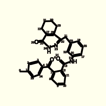 Cc1ccc(C(=O)c2ccccc2C(=O)Nc2cccc(Cc3n[nH]c(=O)c4c3CCCC4)c2)cc1